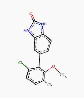 N#Cc1ccc(Cl)c(-c2ccc3[nH]c(=O)[nH]c3c2)c1OC(F)(F)F